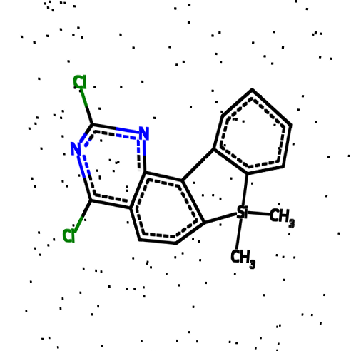 C[Si]1(C)c2ccccc2-c2c1ccc1c(Cl)nc(Cl)nc21